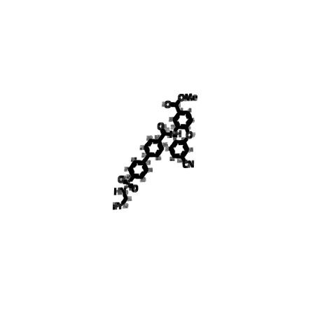 COC(=O)c1ccc(Oc2cccc(C#N)c2)c(NC(=O)c2ccc(-c3ccc(S(=O)(=O)NCC(C)C)cc3)cc2)c1